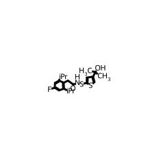 CC(C)c1cc(F)cc(C(C)C)c1CC(=O)NSc1cc(C(C)(C)O)cs1